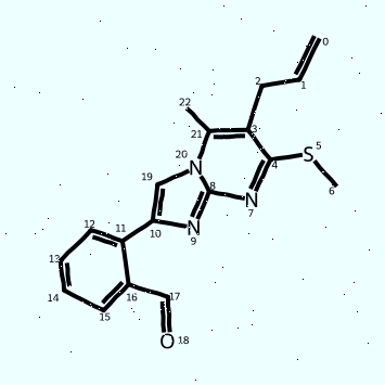 C=CCc1c(SC)nc2nc(-c3ccccc3C=O)cn2c1C